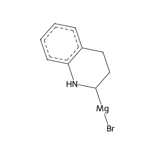 [Br][Mg][CH]1CCc2ccccc2N1